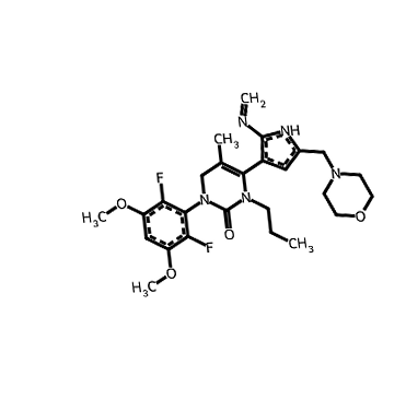 C=Nc1[nH]c(CN2CCOCC2)cc1C1=C(C)CN(c2c(F)c(OC)cc(OC)c2F)C(=O)N1CCC